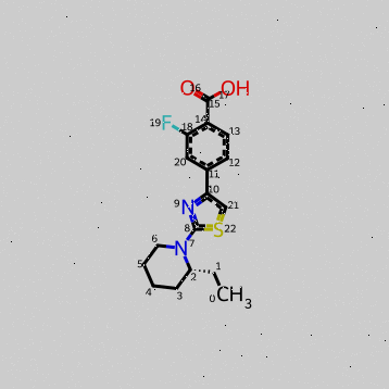 CC[C@@H]1CCCCN1c1nc(-c2ccc(C(=O)O)c(F)c2)cs1